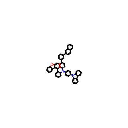 c1cc(-c2ccc(N(c3ccc(-n4c5ccccc5c5ccccc54)cc3)c3ccccc3-c3cccc4oc5ccccc5c34)cc2)cc(-c2ccc3ccccc3c2)c1